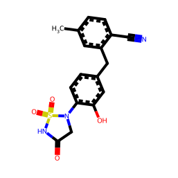 Cc1ccc(C#N)c(Cc2ccc(N3CC(=O)NS3(=O)=O)c(O)c2)c1